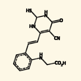 N#CC1=C(/C=C/c2ccccc2NCC(=O)O)NC(S)NC1=O